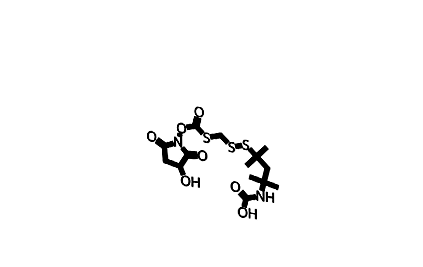 CC(C)(CC(C)(C)SSCSC(=O)ON1C(=O)CC(O)C1=O)NC(=O)O